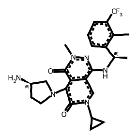 Cc1c([C@@H](C)Nc2nn(C)c(=O)c3c(N4CC[C@@H](N)C4)c(=O)n(C4CC4)cc23)cccc1C(F)(F)F